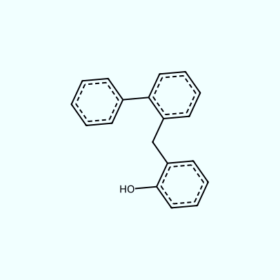 Oc1ccccc1Cc1ccccc1-c1ccccc1